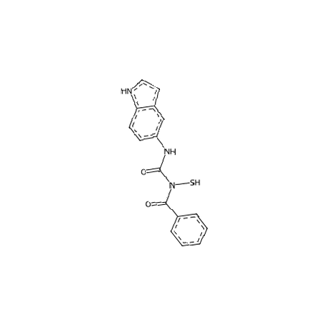 O=C(Nc1ccc2[nH]ccc2c1)N(S)C(=O)c1ccccc1